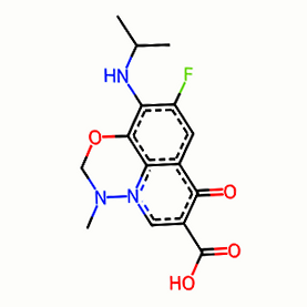 CC(C)Nc1c(F)cc2c(=O)c(C(=O)O)cn3c2c1OCN3C